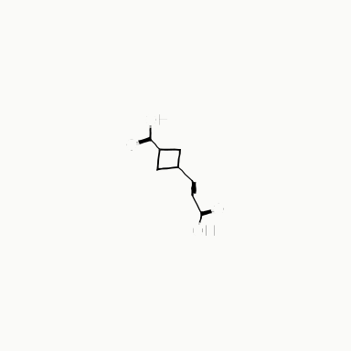 O=C(O)C=CC1CC(C(=O)O)C1